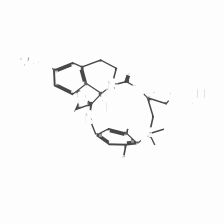 COc1ccc2c(c1)CCN1C(=O)C[C@@H](CC(=O)O)C[Si](C)(C)c3c(F)cc(cc3F)NC3(CO3)[C@@H]21